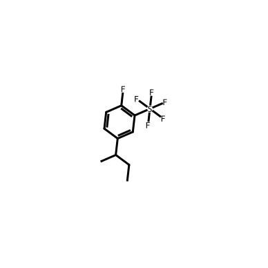 CCC(C)c1ccc(F)c(S(F)(F)(F)(F)F)c1